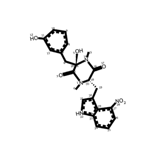 CN1C(=O)[C@](O)(Cc2cccc(O)c2)N(C)C(=O)[C@@H]1Cc1c[nH]c2cccc([N+](=O)[O-])c12